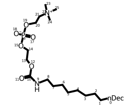 CCCCCCCCCCCCCCCCCCNC(=O)OCCOP(=O)([O-])OCC[N+](C)(C)C